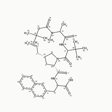 C=CC[C@H]1C[C@@H](C(=O)NC(Cc2ccc3ccccc3c2)C(=O)O)N(C(=O)C(NC(=O)C(C)N(C)C(=O)OC(C)(C)C)C(C)(C)C)C1